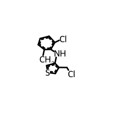 Cc1cccc(Cl)c1Nc1cscc1CCl